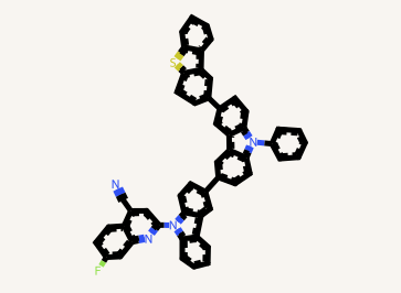 N#Cc1cc(-n2c3ccccc3c3cc(-c4ccc5c(c4)c4cc(-c6ccc7sc8ccccc8c7c6)ccc4n5-c4ccccc4)ccc32)nc2cc(F)ccc12